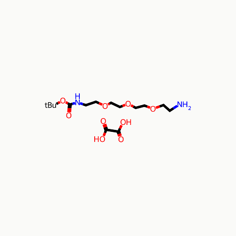 CC(C)(C)OC(=O)NCCOCCOCCOCCN.O=C(O)C(=O)O